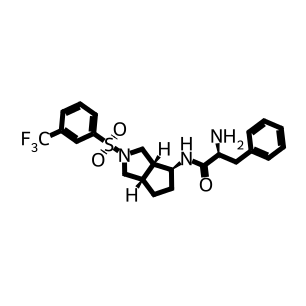 N[C@@H](Cc1ccccc1)C(=O)N[C@H]1CC[C@@H]2CN(S(=O)(=O)c3cccc(C(F)(F)F)c3)C[C@@H]21